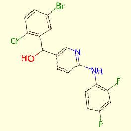 OC(c1ccc(Nc2ccc(F)cc2F)nc1)c1cc(Br)ccc1Cl